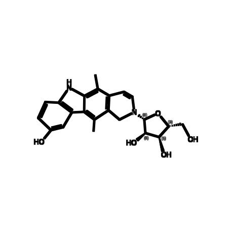 Cc1c2c(c(C)c3c1[nH]c1ccc(O)cc13)CN([C@@H]1O[C@H](CO)[C@@H](O)[C@H]1O)C=C2